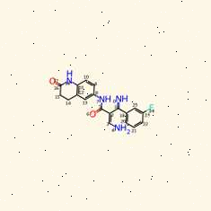 N=C(/C(=C\N)C(=O)Nc1ccc2c(c1)CCC(=O)N2)c1cccc(F)c1